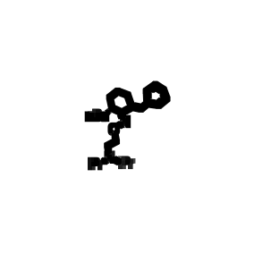 CCCC[C@@H]1CCCC(=C\c2ccccc2)/C1=N/OCCN(C(C)C)C(C)C